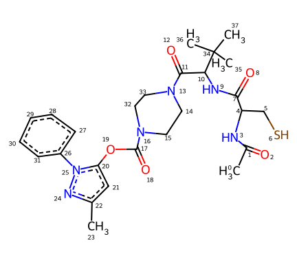 CC(=O)NC(CS)C(=O)NC(C(=O)N1CCN(C(=O)Oc2cc(C)nn2-c2ccccc2)CC1)C(C)(C)C